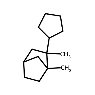 CC12CCC(C1)CC2(C)C1CCCC1